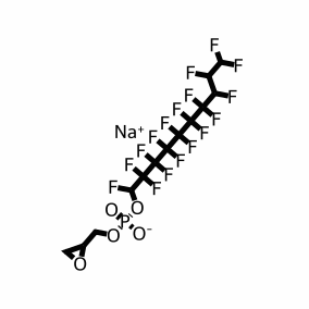 O=P([O-])(OCC1CO1)OC(F)C(F)(F)C(F)(F)C(F)(F)C(F)(F)C(F)(F)C(F)(F)C(F)C(F)C(F)F.[Na+]